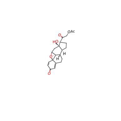 CC(=O)OCC(=O)[C@@]1(O)CC[C@H]2[C@@H]3CCC4=CC(=O)C=C[C@]4(C)[C@]34OC4C[C@@]21C